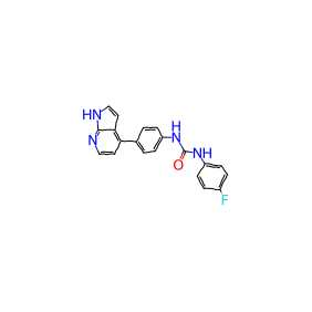 O=C(Nc1ccc(F)cc1)Nc1ccc(-c2ccnc3[nH]ccc23)cc1